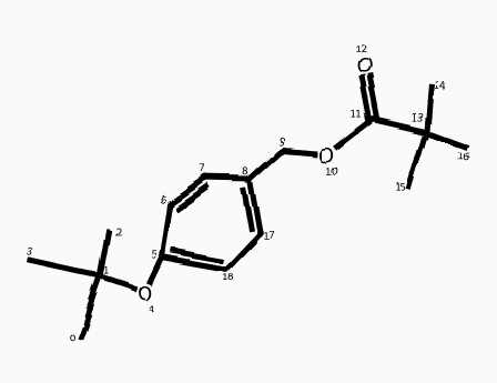 CC(C)(C)Oc1ccc(COC(=O)C(C)(C)C)cc1